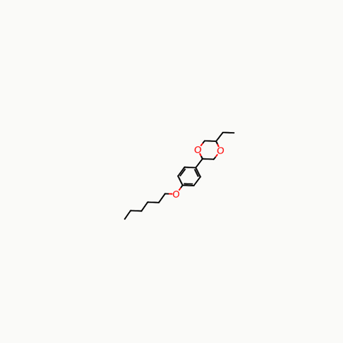 CCCCCCOc1ccc(C2COC(CC)CO2)cc1